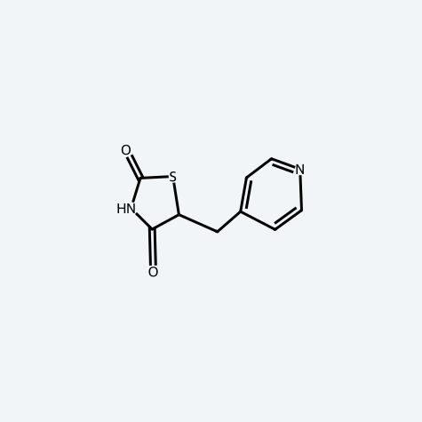 O=C1NC(=O)C(Cc2ccncc2)S1